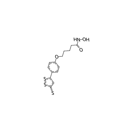 O=C(CCCCOc1ccc(-c2cc(=S)ss2)cc1)NO